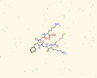 NCCCC[C@H](NC(=O)CNC(=O)[C@H](Cc1ccccc1)NC(=O)CNC(=O)[C@H](CCCCN)NC(=O)CSCCC[18F])C(=O)O